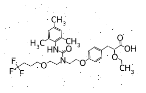 CCOC(Cc1ccc(OCCN(CCOCCCC(F)(F)F)C(=O)Nc2c(C)cc(C)cc2C)cc1)C(=O)O